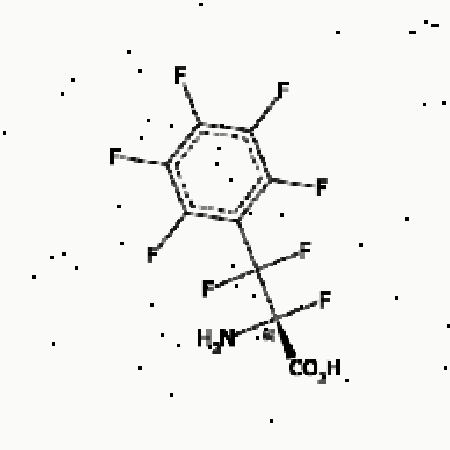 N[C@](F)(C(=O)O)C(F)(F)c1c(F)c(F)c(F)c(F)c1F